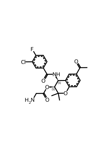 CC(=O)c1ccc2c(c1)[C@H](NC(=O)c1ccc(F)c(Cl)c1)[C@H](OC(=O)CN)C(C)(C)O2